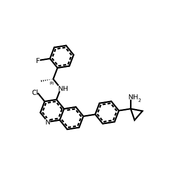 C[C@@H](Nc1c(Cl)cnc2ccc(-c3ccc(C4(N)CC4)cc3)cc12)c1ccccc1F